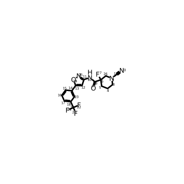 N#CN1CCCC(F)(C(=O)Nc2cc(-c3cccc(C(F)(F)F)c3)on2)C1